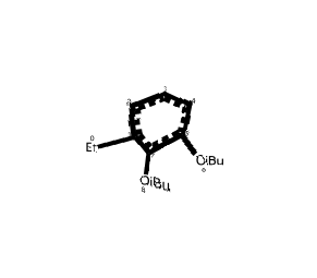 [CH2]Cc1cccc(OCC(C)C)c1OCC(C)C